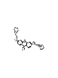 O=c1c2ccc(OCCN3CCCC3)cc2sc2cc(OCCN3CCCC3)ccc12